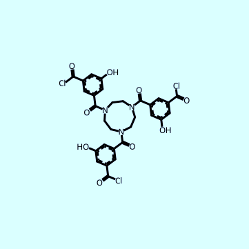 O=C(Cl)c1cc(O)cc(C(=O)N2CCN(C(=O)c3cc(O)cc(C(=O)Cl)c3)CCN(C(=O)c3cc(O)cc(C(=O)Cl)c3)CC2)c1